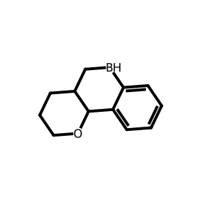 B1CC2CCCOC2c2ccccc21